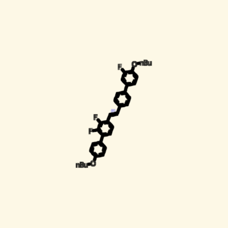 CCCCOc1ccc(-c2ccc(/C=C/c3ccc(-c4ccc(OCCCC)c(F)c4)cc3)c(F)c2F)cc1